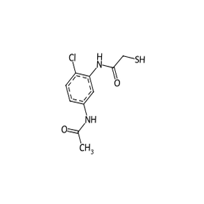 CC(=O)Nc1ccc(Cl)c(NC(=O)CS)c1